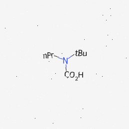 CCCN(C(=O)O)C(C)(C)C